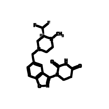 CN1CCN(Cc2ccc3onc(N4CCC(=O)NC4=O)c3c2)C[C@@H]1C(F)F